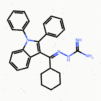 N=C(N)N/N=C(/c1c(-c2ccccc2)n(-c2ccccc2)c2ccccc12)C1CCCCC1